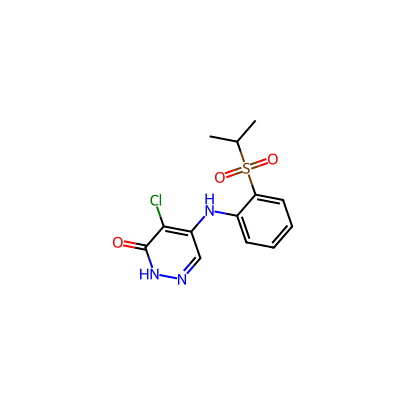 CC(C)S(=O)(=O)c1ccccc1Nc1cn[nH]c(=O)c1Cl